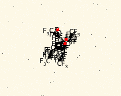 FOC(F)(C(F)(F)OC12C(F)(F)C3(OC(F)(F)C(F)(OF)C(F)(F)C(F)(F)F)C(F)(F)C(OC(F)(F)C(F)(N(F)F)C(F)(F)C(F)(F)F)(C1(F)F)C(F)(F)C(OC(F)(F)C(F)(N(F)F)C(F)(F)C(F)(F)F)(C2(F)F)C3(F)F)C(F)(F)C(F)(F)F